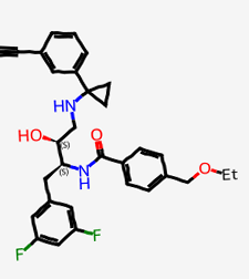 C#Cc1cccc(C2(NC[C@H](O)[C@H](Cc3cc(F)cc(F)c3)NC(=O)c3ccc(COCC)cc3)CC2)c1